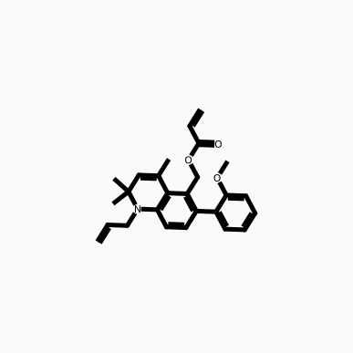 C=CCN1c2ccc(-c3ccccc3OC)c(COC(=O)C=C)c2C(C)=CC1(C)C